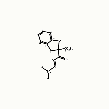 C[13CH2]OC(=O)C1(C(=O)C=CN(C)C)Cc2ccccc2C1